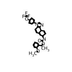 COc1ccccc1C(C)OC(=O)/N=C1/C=CC2C(=C1)C=Cc1c2ncn1-c1ccc(OC(F)(F)F)cc1